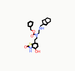 O=C(OCc1ccccc1)N(CCNCC1=C=C2CCCC(C2)C1)CCc1ccc(O)c2[nH]c(=O)sc12